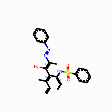 C=C/C(C)=C(C(/O)=C(C)/N=N/c1ccccc1)\C(=C/C)NS(=O)(=O)c1ccccc1